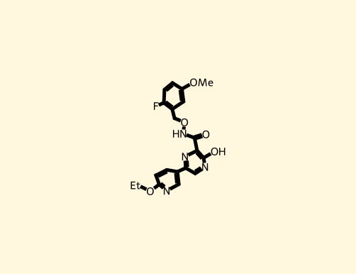 CCOc1ccc(-c2cnc(O)c(C(=O)NOCc3cc(OC)ccc3F)n2)cn1